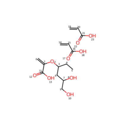 C=C(OC(CC)CC(O)CO)C(=O)O.C=CC(=O)O.C=CC(=O)O